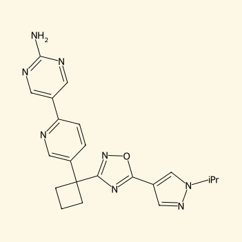 CC(C)n1cc(-c2nc(C3(c4ccc(-c5cnc(N)nc5)nc4)CCC3)no2)cn1